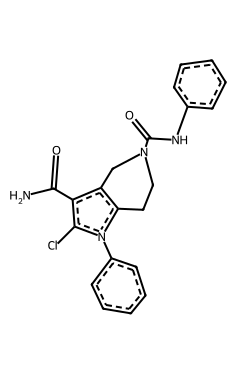 NC(=O)c1c2c(n(-c3ccccc3)c1Cl)CCN(C(=O)Nc1ccccc1)C2